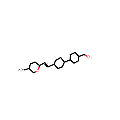 CCCC1CCC(/C=C/C2CCC(C3CCC(CO)CC3)CC2)OC1